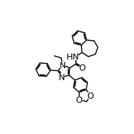 CCn1c(-c2ccccc2)nc(-c2ccc3c(c2)OCO3)c1C(=O)NC1CCCCc2ccccc21